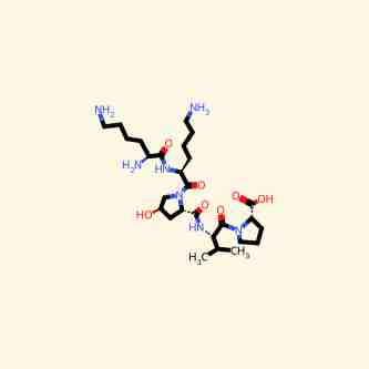 CC(C)[C@H](NC(=O)[C@@H]1C[C@@H](O)CN1C(=O)[C@H](CCCCN)NC(=O)[C@@H](N)CCCCN)C(=O)N1CCC[C@H]1C(=O)O